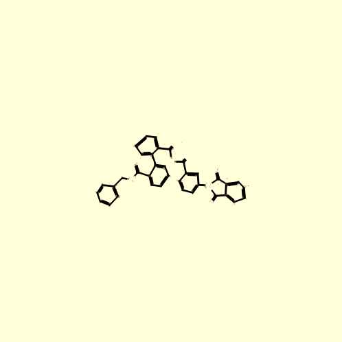 O=C(OC(=O)c1ccccc1-c1ccccc1C(=O)NCc1ccccc1)c1cccc(N2C(=O)c3ccccc3C2=O)c1